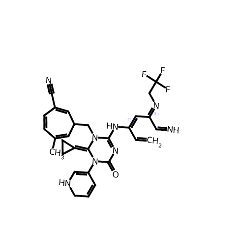 C=C/C(=C\C(C=N)=N/CC(F)(F)F)NC1=NC(=O)N(C2=CNCC=C2)C(=C2CC2)N1CC1C=C(C)C=CC(C#N)=C1